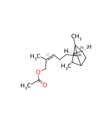 CC(=O)OC/C(C)=C\CC[C@]1(C)C2C[C@@H]3[C@H](C2)C31C